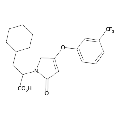 O=C(O)C(CC1CCCCC1)N1CC(Oc2cccc(C(F)(F)F)c2)=CC1=O